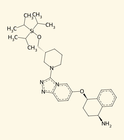 CC(C)[Si](OC[C@@H]1CCCN(c2nnc3ccc(O[C@@H]4CC[C@H](N)c5ccccc54)cn23)C1)(C(C)C)C(C)C